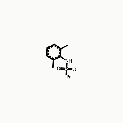 Cc1cccc(C)c1NS(=O)(=O)C(C)C